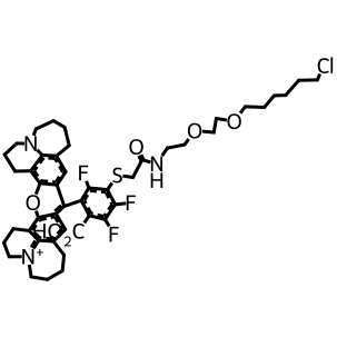 O=C(CSc1c(F)c(F)c(C(=O)O)c(C2=c3cc4c5c(c3Oc3c2cc2c6c3CCCN6CCCC2)CCC[N+]=5CCCC4)c1F)NCCOCCOCCCCCCCl